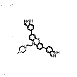 CN1CCN(CCN2c3ccc(-c4ccc5[nH]ncc5c4)cc3Sc3cc(-c4ccc5[nH]ncc5c4)ccc32)CC1